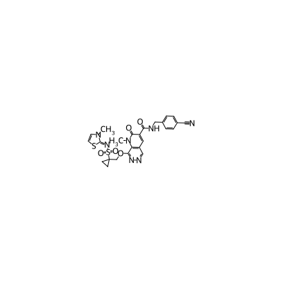 Cn1ccsc1=NS(=O)(=O)C1(COc2nncc3cc(C(=O)NCc4ccc(C#N)cc4)c(=O)n(C)c23)CC1